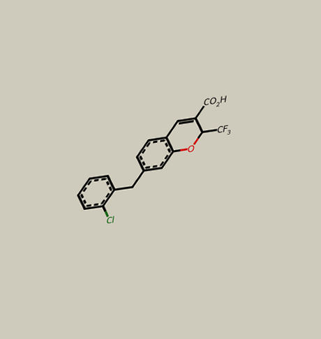 O=C(O)C1=Cc2ccc(Cc3ccccc3Cl)cc2OC1C(F)(F)F